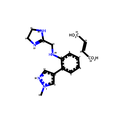 Cn1cc(-c2ccccc2NCC2=NCCN2)cn1.O=C(O)C=CC(=O)O